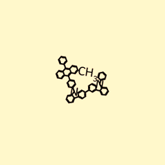 Cc1ccc2c(-c3ccccc3)c3ccccc3c(-c3ccc(-n4c5ccccc5c5ccc(-c6ccc7c(c6)c6ccccc6n7-c6ccccc6)cc54)cc3)c2c1